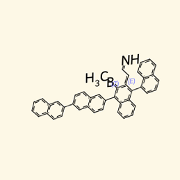 C/B=c1/c(-c2ccc3cc(-c4ccc5ccccc5c4)ccc3c2)c2ccccc2c(-c2cccc3ccccc23)/c1=C/C=N